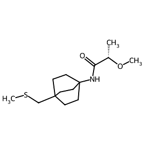 CO[C@@H](C)C(=O)NC12CCC(CSC)(CC1)CC2